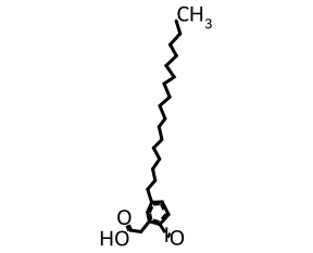 CCCCCCCCCCCCCCCCCCc1ccc(I=O)c(CC(=O)O)c1